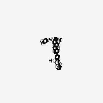 C=C(C)[C@@H]1CC[C@]2(NCCN3CCS(=O)(=O)CC3)CC[C@]3(C)[C@H](CC[C@@H]4[C@@]5(C)CC=C(C6=CCC(CCOc7ncccc7C)(C(=O)O)CC6)C(C)(C)[C@@H]5CC[C@]43C)[C@@H]12